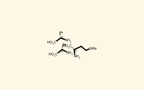 CC(C)[C@H](N)C(=O)O.CC(C)[C@H](N)C(=O)O.CSCC[C@H](N)C(=O)O